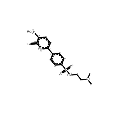 CN(C)CCNS(=O)(=O)c1ccc(-c2ccc(C(=O)O)c(=O)[nH]2)cc1